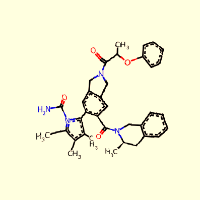 Cc1c(C)c(-c2cc3c(cc2C(=O)N2Cc4ccccc4C[C@H]2C)CN(C(=O)C(C)Oc2ccccc2)C3)n(C(N)=O)c1C